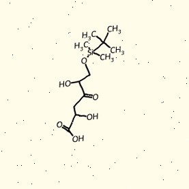 CC(C)(C)[Si](C)(C)OCC(O)C(=O)CC(O)C(=O)O